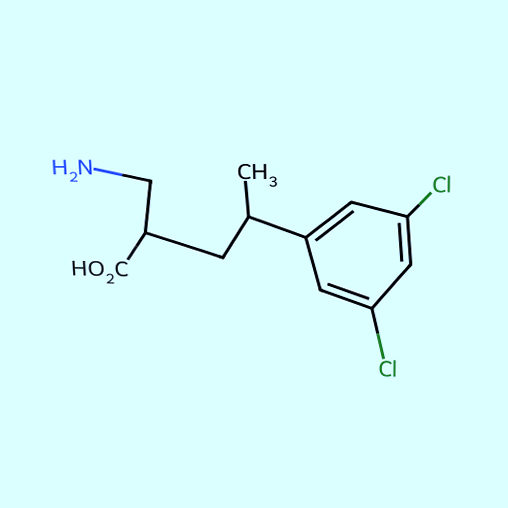 CC(CC(CN)C(=O)O)c1cc(Cl)cc(Cl)c1